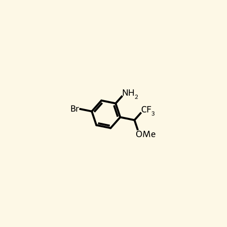 COC(c1ccc(Br)cc1N)C(F)(F)F